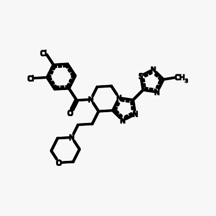 Cc1nsc(-c2nnc3n2CCN(C(=O)c2ccc(Cl)c(Cl)c2)C3CCN2CCOCC2)n1